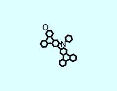 COc1ccc2c(c1)c1ccccc1c1cc3c4cc5c6ccccc6c6ccccc6c5cc4n(-c4ccccc4)c3cc21